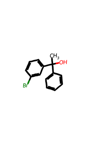 CC(O)(c1ccccc1)c1cccc(Br)c1